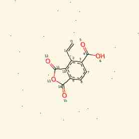 C=Cc1c(C(=O)O)ccc2c1C(=O)OC2=O